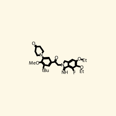 CCOc1cc2c(c(F)c1OCC)C(=N)N(CC(=O)c1cc(N3CCC(=O)CC3)c(OC)c(C(C)(C)C)c1)C2